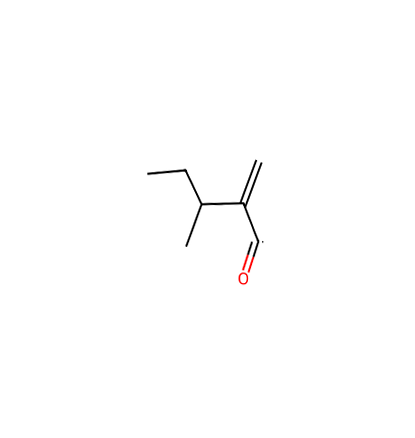 C=C([C]=O)C(C)CC